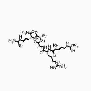 CC(C)[C@H](NC(=O)[C@H](C)NC(=O)[C@@H](CCCNC(=N)N)NC(=O)[C@H](N)CCCNC(=N)N)C(=O)N[C@H](CCCNC(=N)N)C(N)=O